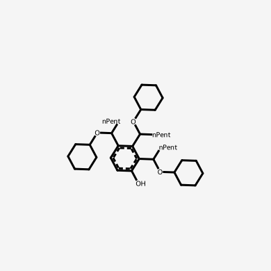 CCCCCC(OC1CCCCC1)c1ccc(O)c(C(CCCCC)OC2CCCCC2)c1C(CCCCC)OC1CCCCC1